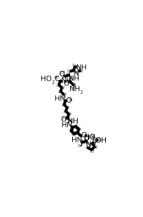 C[C@@H](NC(=O)c1ccc(NNC(=O)CCCCC(=O)NCCCC[C@H](NC(=O)[C@H](CC2CNC=N2)NC(=O)CN)C(=O)O)cc1)C(=O)N1CCC[C@H]1B(O)O